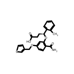 Cc1ccccc1[C@H](CCC(=O)O)Oc1cc(OCc2ccsc2)ccc1C(N)=O